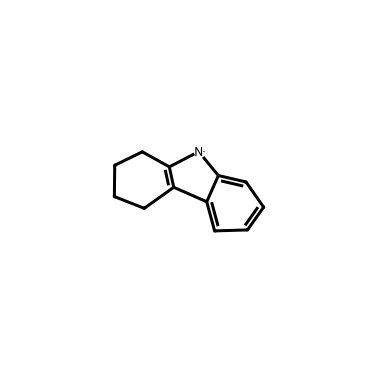 c1ccc2c(c1)[N]C1=C2CCCC1